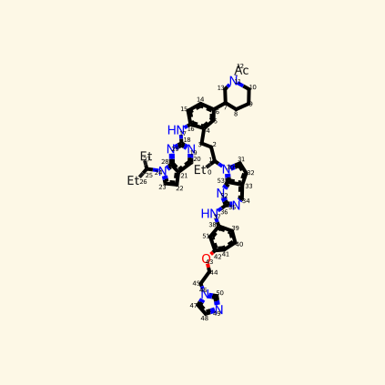 CCC(CCc1cc(C2CCCN(C(C)=O)C2)ccc1Nc1ncc2ccn(C(CC)CC)c2n1)n1ccc2cnc(Nc3cccc(OCCn4ccnc4)c3)nc21